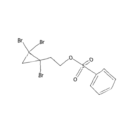 O=S(=O)(OCCC1(Br)CC1(Br)Br)c1ccccc1